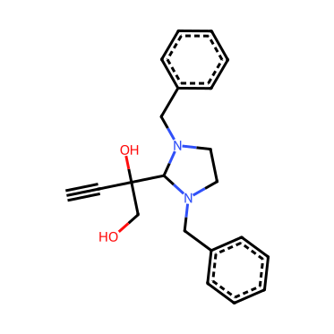 C#CC(O)(CO)C1N(Cc2ccccc2)CCN1Cc1ccccc1